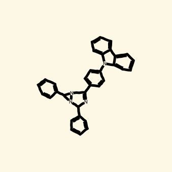 c1ccc(C2N=C(c3ccc(-n4c5ccccc5c5ccccc54)cc3)N3C(c4ccccc4)N23)cc1